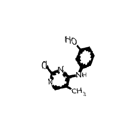 Cc1cnc(Cl)nc1Nc1cccc(O)c1